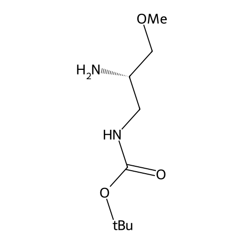 COC[C@@H](N)CNC(=O)OC(C)(C)C